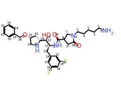 NCCCCCN1CC(C(=O)N[C@@H](Cc2cc(F)cc(F)c2)[C@H](O)[C@H]2C[C@@H](OCc3ccccc3)CN2)CC1=O